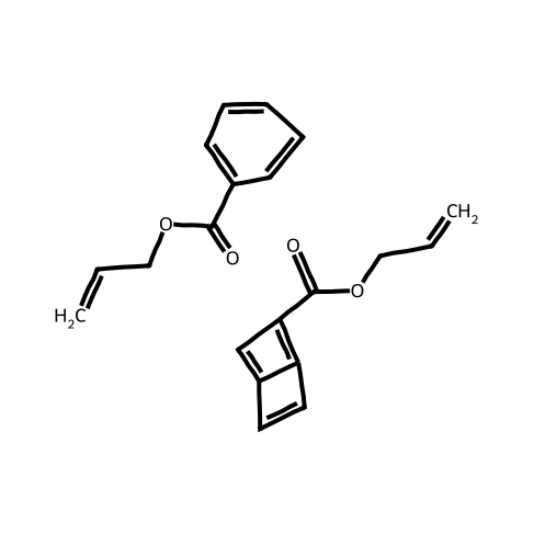 C=CCOC(=O)c1cc2ccc1-2.C=CCOC(=O)c1ccccc1